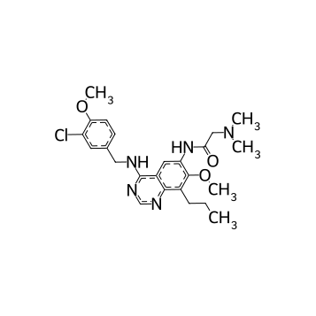 CCCc1c(OC)c(NC(=O)CN(C)C)cc2c(NCc3ccc(OC)c(Cl)c3)ncnc12